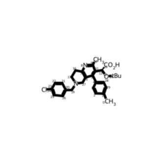 Cc1ccc(-c2c3c(nc(C)c2[C@H](OC(C)(C)C)C(=O)O)CCN(Cc2ccc(Cl)cc2)C3)cc1